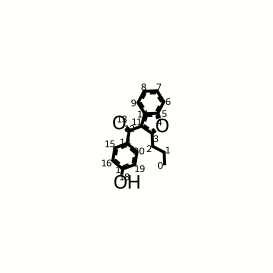 CCCc1oc2ccccc2c1C(=O)c1ccc(O)cc1